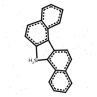 c1ccc2c3c(ccc2c1)-c1c(ccc2ccccc12)[SiH2]3